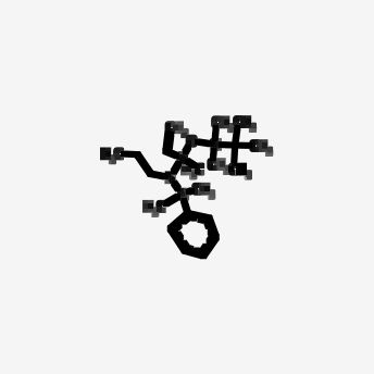 C=C[Si](C)(O[Si](C)(C)C(C)(C)C)N(CCC)[Si](C)(C)c1ccccc1